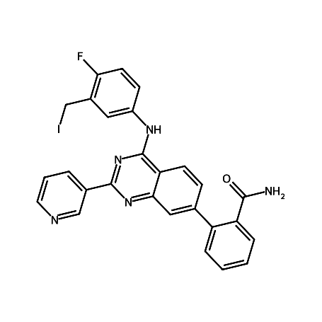 NC(=O)c1ccccc1-c1ccc2c(Nc3ccc(F)c(CI)c3)nc(-c3cccnc3)nc2c1